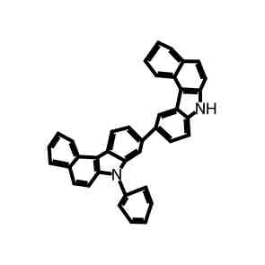 c1ccc(-n2c3cc(-c4ccc5[nH]c6ccc7ccccc7c6c5c4)ccc3c3c4ccccc4ccc32)cc1